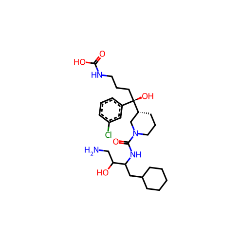 NCC(O)C(CC1CCCCC1)NC(=O)N1CCC[C@@H]([C@@](O)(CCCNC(=O)O)c2cccc(Cl)c2)C1